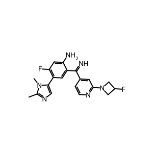 Cc1ncc(-c2cc(C(=N)c3ccnc(N4CC(F)C4)c3)c(N)cc2F)n1C